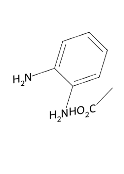 CC(=O)O.Nc1ccccc1N